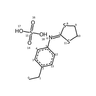 CCc1ccc(N=C2SCCS2)cc1.O=S(=O)(O)O